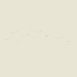 CN(C)CCOC(=O)CN1CC(N2CCN(C)CC2)C1